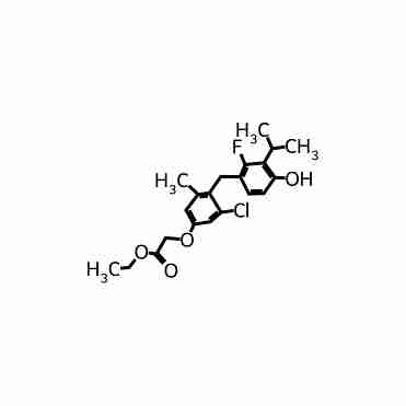 CCOC(=O)COc1cc(C)c(Cc2ccc(O)c(C(C)C)c2F)c(Cl)c1